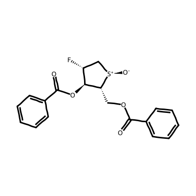 O=C(OC[C@@H]1[C@@H](OC(=O)c2ccccc2)[C@H](F)C[S@@+]1[O-])c1ccccc1